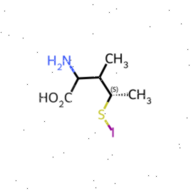 CC(C(N)C(=O)O)[C@H](C)SI